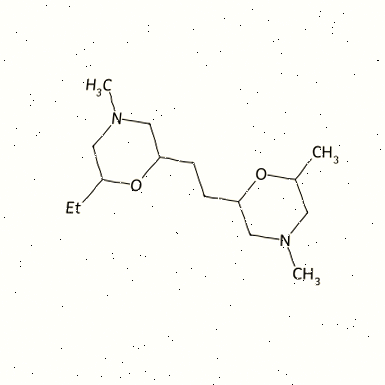 CCC1CN(C)CC(CCC2CN(C)CC(C)O2)O1